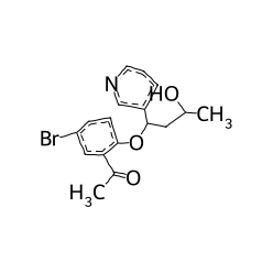 CC(=O)c1cc(Br)ccc1OC(CC(C)O)c1cccnc1